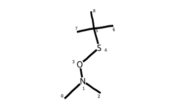 CN(C)OSC(C)(C)C